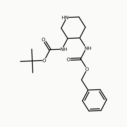 CC(C)(C)OC(=O)NC1CNCCC1NC(=O)OCc1ccccc1